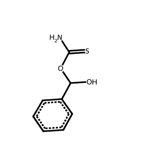 NC(=S)OC(O)c1ccccc1